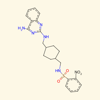 Nc1nc(NCC2CCC(CNS(=O)(=O)c3ccccc3[N+](=O)[O-])CC2)nc2ccccc12